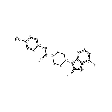 O=c1[nH]c2c(Br)cccc2n1[C@H]1CC[C@@H](C(=O)Nc2ccc(C(F)(F)F)cc2)CC1